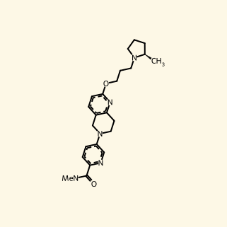 CNC(=O)c1ccc(N2CCc3nc(OCCCN4CCC[C@H]4C)ccc3C2)cn1